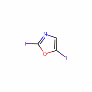 Ic1cnc(I)o1